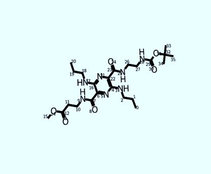 CCCNc1nc(C(=O)NCCC(=O)OC)c(NCCC)nc1C(=O)NCCNC(=O)OC(C)(C)C